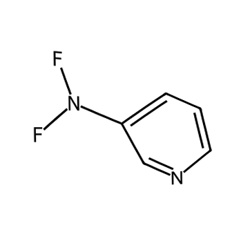 FN(F)c1cccnc1